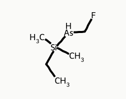 CC[Si](C)(C)[AsH]CF